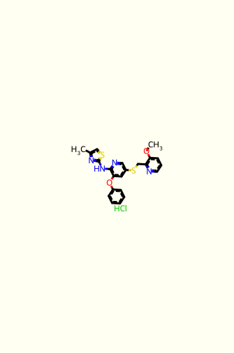 COc1cccnc1CSc1cnc(Nc2nc(C)cs2)c(Oc2ccccc2)c1.Cl